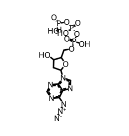 [N-]=[N+]=Nc1ncnc2c1ncn2C1CC(O)C(COP(=O)(O)OP(=O)(O)O[PH](=O)O)O1